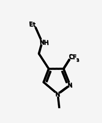 CCNCc1cn(C)nc1C(F)(F)F